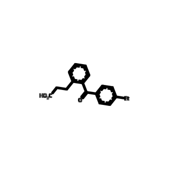 CCc1ccc(C(=O)c2ccccc2CCC(=O)O)cc1